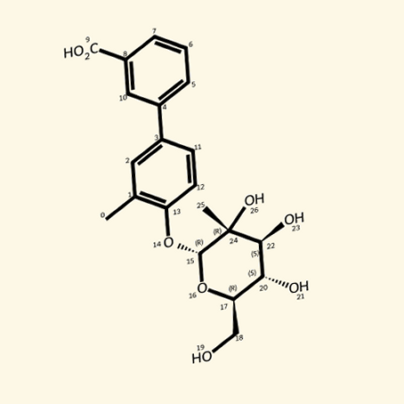 Cc1cc(-c2cccc(C(=O)O)c2)ccc1O[C@H]1O[C@H](CO)[C@@H](O)[C@H](O)[C@@]1(C)O